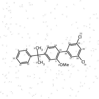 COc1cc(C(C)(C)c2ccccc2)ccc1-c1cc(Cl)cc(Cl)c1